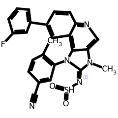 Cc1ccc(C#N)cc1-n1/c(=N\[SH](=O)=O)n(C)c2cnc3ccc(-c4cccc(F)c4)cc3c21